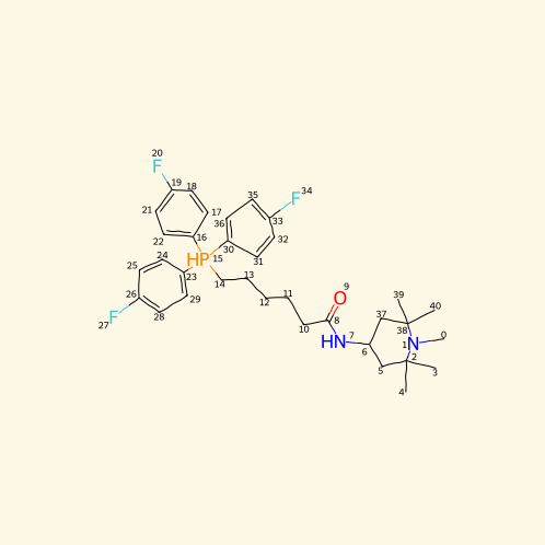 CN1C(C)(C)CC(NC(=O)CCCCC[PH](c2ccc(F)cc2)(c2ccc(F)cc2)c2ccc(F)cc2)CC1(C)C